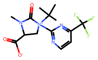 CN1C(=O)[N+](c2nccc(C(F)(F)F)n2)(C(C)(C)C)CC1C(=O)[O-]